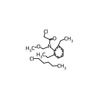 CCCCCCl.CCc1cccc(CC)c1N(COC)C(=O)CCl